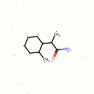 CC1CCCCC1C(C)C(N)=O